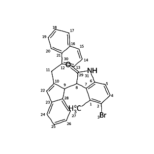 Cc1c(Br)ccc2c1C(C1C(Cc3cccc4ccccc34)=Cc3ccccc31)C(=O)N2